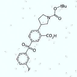 CC(C)(C)OC(=O)N1CCC(c2ccc(S(=O)(=O)c3cccc(F)c3)cc2C(=O)O)C1